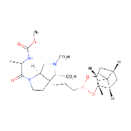 CC(NC(=O)OC(C)(C)C)C(=O)N1CC[C@@]2(CCCB3O[C@@H]4C[C@@H]5C[C@@H](C5(C)C)[C@]4(C)O3)[C@@H]1CN(C(=O)O)[C@@H]2C(=O)O